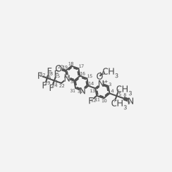 CO[n+]1cc(C(C)(C)C#N)cc(F)c1-c1cc2ccc(=O)n(CC(F)(F)C(F)(F)F)c2cn1